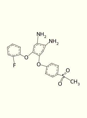 CS(=O)(=O)c1ccc(Oc2cc(N)c(N)cc2Oc2ccccc2F)cc1